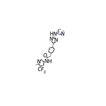 C/C=C(\C=N/C)Nc1ncc(-c2ccc(CC(=O)Nc3cnc(C)c(C(F)(F)F)c3)cc2)cn1